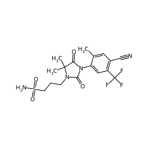 Cc1cc(C#N)c(C(F)(F)F)cc1N1C(=O)N(CCCS(N)(=O)=O)C(C)(C)C1=O